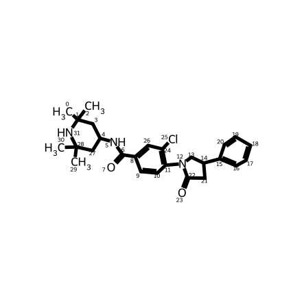 CC1(C)CC(NC(=O)c2ccc(N3CC(c4ccccc4)CC3=O)c(Cl)c2)CC(C)(C)N1